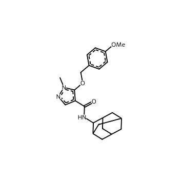 COc1ccc(COc2c(C(=O)NC3C4CC5CC(C4)CC3C5)cnn2C)cc1